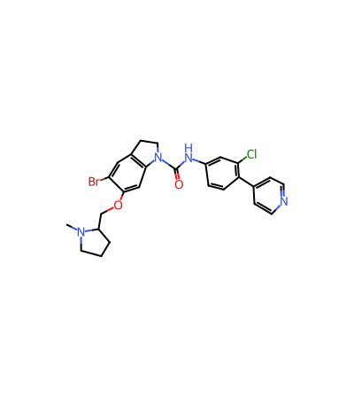 CN1CCCC1COc1cc2c(cc1Br)CCN2C(=O)Nc1ccc(-c2ccncc2)c(Cl)c1